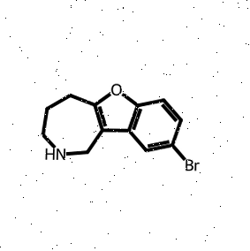 Brc1ccc2oc3c(c2c1)CNCCC3